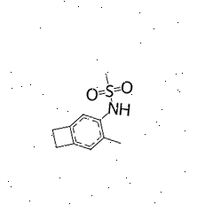 Cc1cc2c(cc1NS(C)(=O)=O)CC2